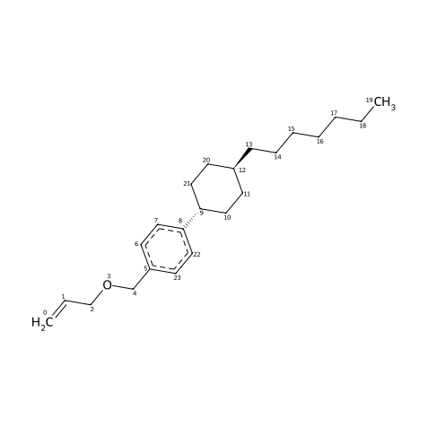 C=CCOCc1ccc([C@H]2CC[C@H](CCCCCCC)CC2)cc1